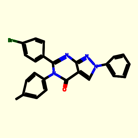 Cc1ccc(-n2c(-c3ccc(Br)cc3)nc3nn(-c4ccccc4)cc3c2=O)cc1